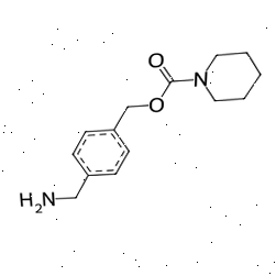 NCc1ccc(COC(=O)N2CCCCC2)cc1